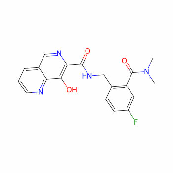 CN(C)C(=O)c1cc(F)ccc1CNC(=O)c1ncc2cccnc2c1O